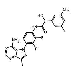 Cc1cc(C(O)C(=O)Nc2ccc(-n3nc(C)c4ncnc(N)c43)c(F)c2F)cc(C(F)(F)F)c1